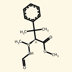 COC(=O)[C@@H](N(C)BC=O)C(C)(C)c1ccccc1